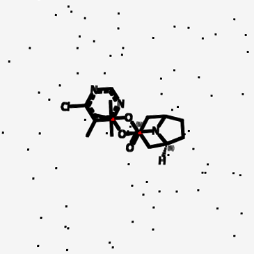 Cc1c(Cl)ncnc1O[C@H]1CC2CC[C@@H](C1)N2C(=O)OC(C)(C)C